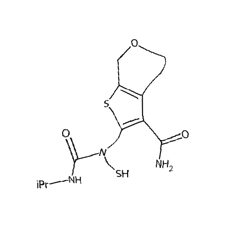 CC(C)NC(=O)N(S)c1sc2c(c1C(N)=O)CCOC2